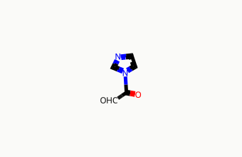 O=CC(=O)n1ccnc1